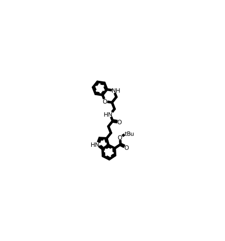 CC(C)(C)OC(=O)c1cccc2[nH]cc(CCC(=O)NCC3CNc4ccccc4O3)c12